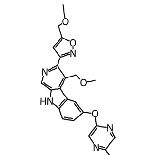 COCc1cc(-c2ncc3[nH]c4ccc(Oc5cnc(C)cn5)cc4c3c2COC)no1